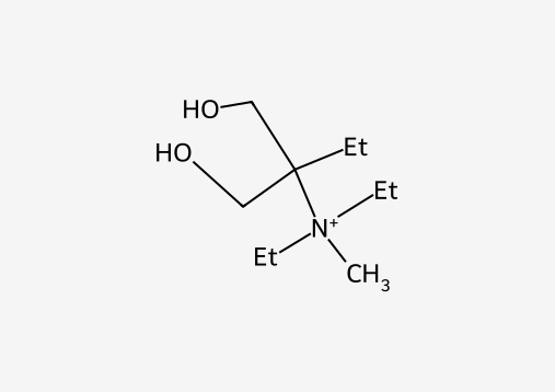 CCC(CO)(CO)[N+](C)(CC)CC